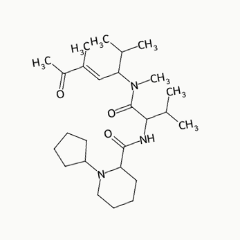 CC(=O)/C(C)=C/C(C(C)C)N(C)C(=O)C(NC(=O)C1CCCCN1C1CCCC1)C(C)C